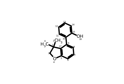 CC1(C)COc2cccc(-c3ccccc3O)c21